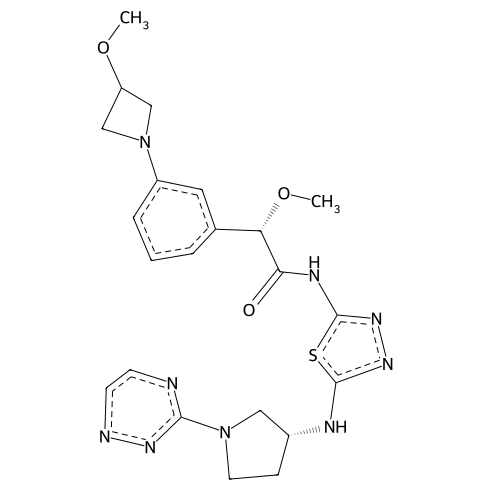 COC1CN(c2cccc([C@H](OC)C(=O)Nc3nnc(N[C@@H]4CCN(c5nccnn5)C4)s3)c2)C1